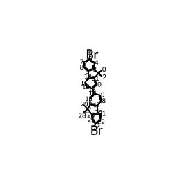 CC1(C)c2cc(Br)ccc2-c2ccc(C3=CC4C(C=C3)c3ccc(Br)cc3C4(C)C)cc21